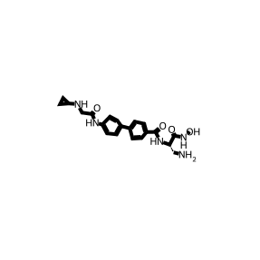 NC[C@H](NC(=O)c1ccc(-c2ccc(NC(=O)CNC3CC3)cc2)cc1)C(=O)NO